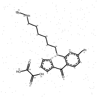 CC(C)c1ccc(C(=O)c2cccs2)c(SCCCCCCNC(C)(C)C)n1.O=C(O)C(=O)O